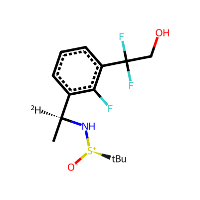 [2H][C@@](C)(N[S@+]([O-])C(C)(C)C)c1cccc(C(F)(F)CO)c1F